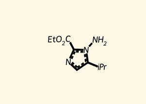 CCOC(=O)c1ncc(C(C)C)n1N